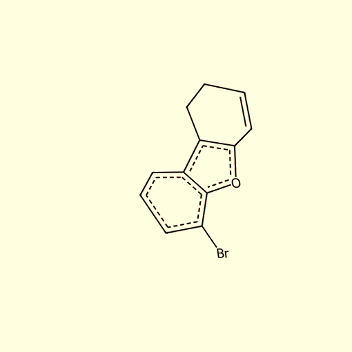 Brc1cccc2c3c(oc12)C=CCC3